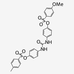 COc1ccc(S(=O)(=O)Oc2ccc(NC(=O)Nc3ccc(OS(=O)(=O)c4ccc(C)cc4)cc3)cc2)cc1